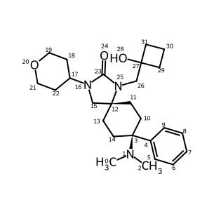 CN(C)[C@]1(c2ccccc2)CC[C@@]2(CC1)CN(C1CCOCC1)C(=O)N2CC1(O)CCC1